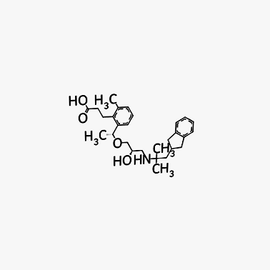 Cc1cccc([C@@H](C)OC[C@H](O)CNC(C)(C)CC2Cc3ccccc3C2)c1CCC(=O)O